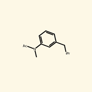 CC(=O)N(C)c1cccc(CC(C)C)c1